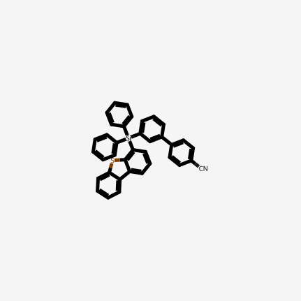 N#Cc1ccc(-c2cccc([Si](c3ccccc3)(c3ccccc3)c3cccc4c3sc3ccccc34)c2)cc1